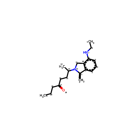 C=C1c2cccc(NCC)c2CN1C(C)CCC(=O)CCC